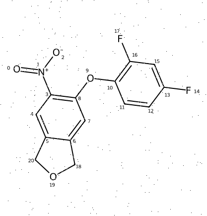 O=[N+]([O-])c1cc2c(cc1Oc1ccc(F)cc1F)COC2